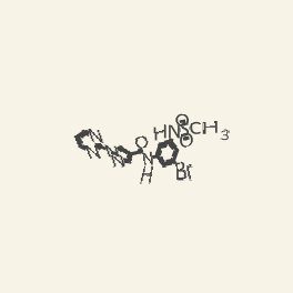 CS(=O)(=O)Nc1cc(Br)cc(NC(=O)c2cnn(-c3ncccn3)c2)c1